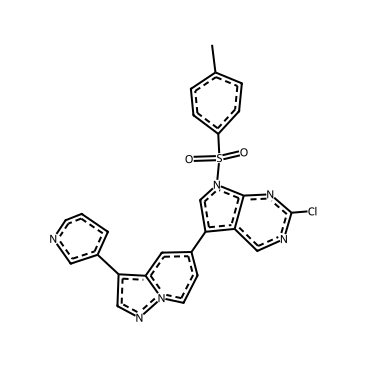 Cc1ccc(S(=O)(=O)n2cc(-c3ccn4ncc(-c5cccnc5)c4c3)c3cnc(Cl)nc32)cc1